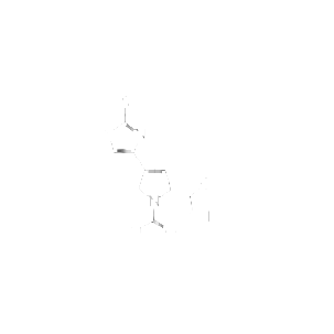 CC(C)[C@H]1C=C(c2csc(S)n2)CN1C(=O)O